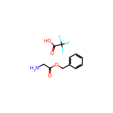 NCC(=O)OCc1ccccc1.O=C(O)C(F)(F)F